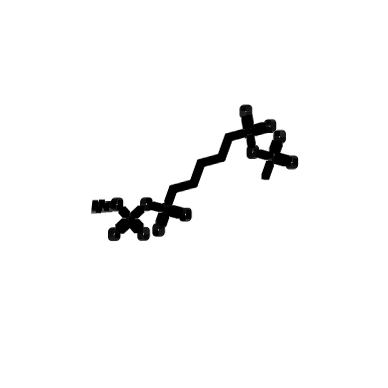 COS(=O)(=O)OS(=O)(=O)CCCCCS(=O)(=O)OS(C)(=O)=O